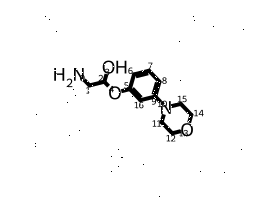 NCC(O)Oc1cccc(N2CCOCC2)c1